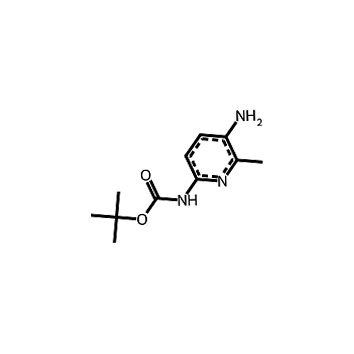 Cc1nc(NC(=O)OC(C)(C)C)ccc1N